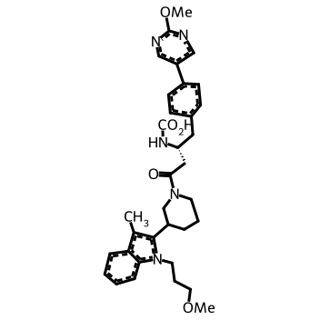 COCCCn1c(C2CCCN(C(=O)C[C@@H](Cc3ccc(-c4cnc(OC)nc4)cc3)NC(=O)O)C2)c(C)c2ccccc21